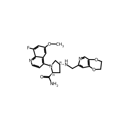 COc1cc(F)c2nccc(N3C[C@H](NCc4cc5c(cn4)OCCO5)C[C@H]3C(N)=O)c2c1